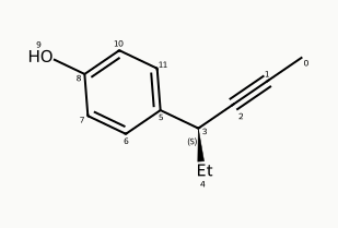 CC#C[C@@H](CC)c1ccc(O)cc1